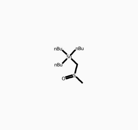 CCC[CH2][Sn]([CH2]CCC)([CH2]CCC)[CH2]S(C)=O